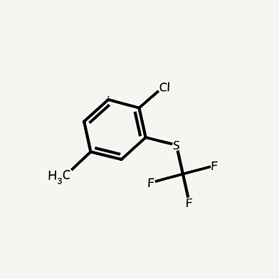 Cc1c[c]c(Cl)c(SC(F)(F)F)c1